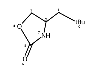 CC(C)(C)CC1COC(=O)N1